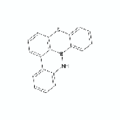 c1ccc2c(c1)NB1c3ccccc3Sc3cccc-2c31